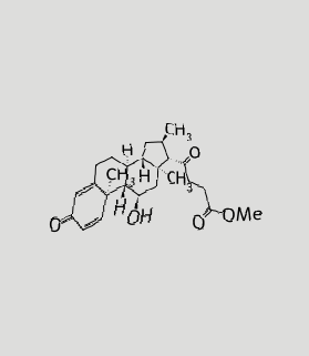 COC(=O)CCC(=O)[C@H]1[C@H](C)C[C@H]2[C@@H]3CCC4=CC(=O)C=C[C@]4(C)[C@H]3[C@H](O)C[C@@]21C